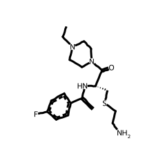 C=C(N[C@@H](CSCCN)C(=O)N1CCN(CC)CC1)c1ccc(F)cc1